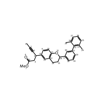 CC#CC(CC(=O)OC)c1ccc2c(c1)CCC(c1cccc(-c3c(C)cccc3C)c1)O2